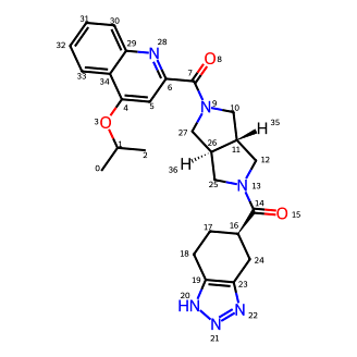 CC(C)Oc1cc(C(=O)N2C[C@@H]3CN(C(=O)[C@@H]4CCc5[nH]nnc5C4)C[C@H]3C2)nc2ccccc12